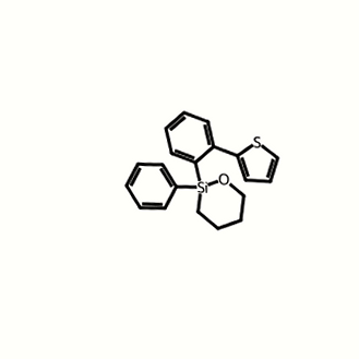 c1ccc([Si]2(c3ccccc3-c3cccs3)CCCCO2)cc1